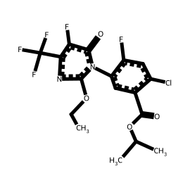 CCOc1nc(C(F)(F)F)c(F)c(=O)n1-c1cc(C(=O)OC(C)C)c(Cl)cc1F